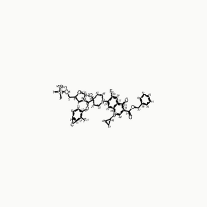 CC(C)(C)[Si](C)(C)OCC1CN(C(Oc2ccc3c(c2F)O3)C2(O)CCN(c3cc4c(cc3F)c(=O)c(C(=O)OCc3ccccc3)cn4C3CC3)CC2)CO1